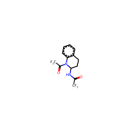 O=C(NC1CCc2ccccc2N1C(=O)C(F)(F)F)C(F)(F)F